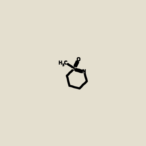 CS1(=O)=NCCCC1